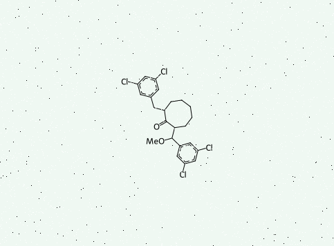 COC(c1cc(Cl)cc(Cl)c1)C1CCCCCC(Cc2cc(Cl)cc(Cl)c2)C1=O